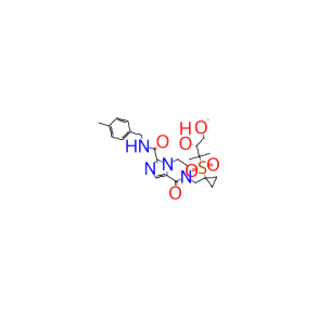 COC[C@@H](O)C(C)(C)S(=O)(=O)C1(CN2CCn3c(cnc3C(=O)NCc3ccc(C)cc3)C2=O)CC1